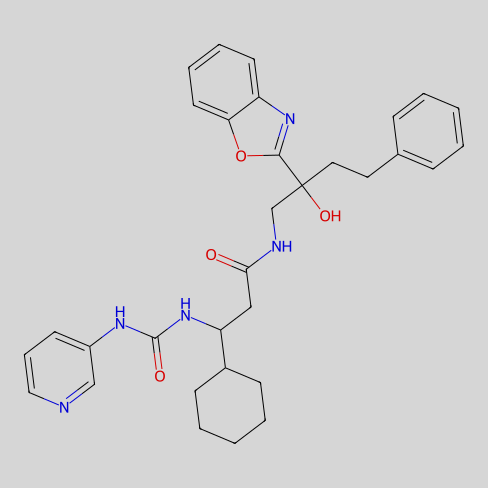 O=C(CC(NC(=O)Nc1cccnc1)C1CCCCC1)NCC(O)(CCc1ccccc1)c1nc2ccccc2o1